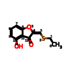 CCSC=C1Oc2cccc(O)c2C1=O